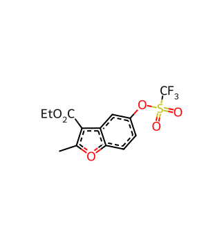 CCOC(=O)c1c(C)oc2ccc(OS(=O)(=O)C(F)(F)F)cc12